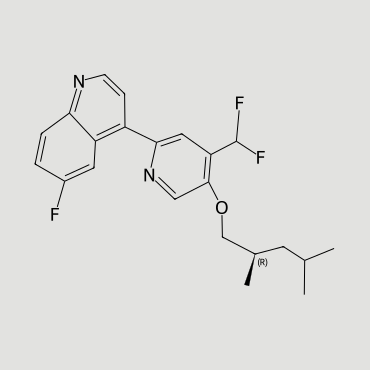 CC(C)C[C@@H](C)COc1cnc(-c2ccnc3ccc(F)cc23)cc1C(F)F